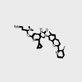 Cc1cc2c(cc1N1Cc3c(cc(O/C(=C/C=N)N(C)C)nc3C3CC3)NC1=O)OC(c1ncccc1F)CC2